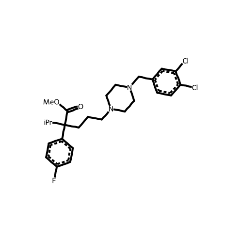 COC(=O)C(CCCN1CCN(Cc2ccc(Cl)c(Cl)c2)CC1)(c1ccc(F)cc1)C(C)C